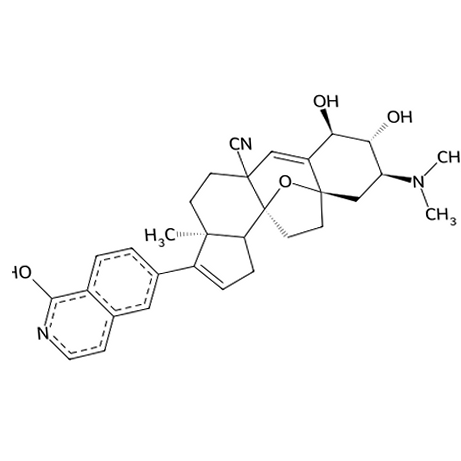 CN(C)[C@H]1C[C@@]23CC[C@]4(O2)C2CC=C(c5ccc6c(O)nccc6c5)[C@@]2(C)CCC4(C#N)C=C3[C@@H](O)[C@@H]1O